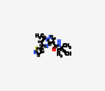 C#CC(C)(C)NC(=O)c1cnn2c(C)cc(-c3ccns3)nc12